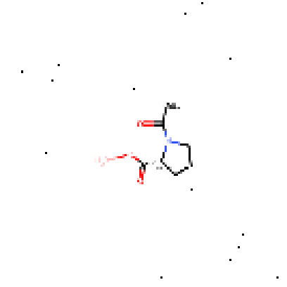 BOC(=O)[C@H]1CCCN1C(=O)OCC(C)C